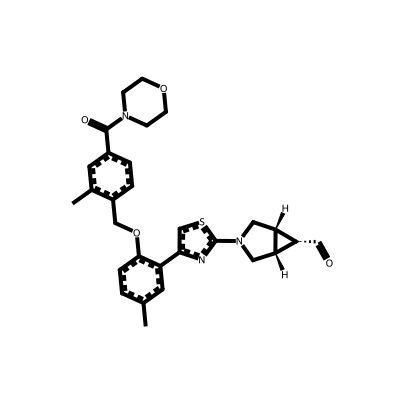 Cc1ccc(OCc2ccc(C(=O)N3CCOCC3)cc2C)c(-c2csc(N3C[C@@H]4[C@H](C=O)[C@@H]4C3)n2)c1